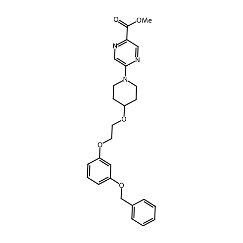 COC(=O)c1cnc(N2CCC(OCCOc3cccc(OCc4ccccc4)c3)CC2)cn1